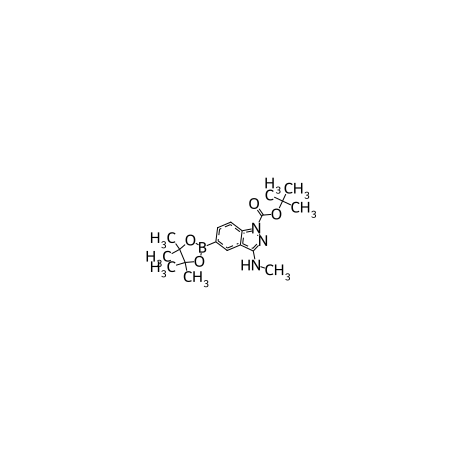 CNc1nn(C(=O)OC(C)(C)C)c2ccc(B3OC(C)(C)C(C)(C)O3)cc12